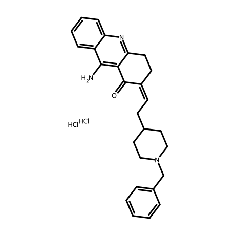 Cl.Cl.Nc1c2c(nc3ccccc13)CC/C(=C/CC1CCN(Cc3ccccc3)CC1)C2=O